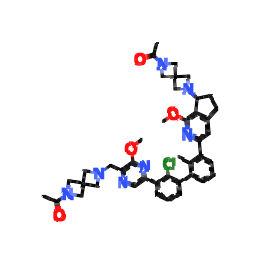 COc1nc(-c2cccc(-c3cccc(-c4cc5c(c(OC)n4)[C@@H](N4CC6(CN(C(C)=O)C6)C4)CC5)c3C)c2Cl)cnc1CN1CC2(C1)CN(C(C)=O)C2